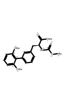 COC(=O)[C@H](Cc1cccc(-c2c(OC)cccc2OC)c1)NC(=O)OC(C)(C)C